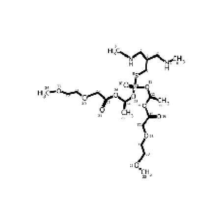 CNCC(CNC)CSP(=O)(OC(C)OC(=O)COCCOC)OC(C)OC(=O)COCCOC